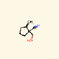 C=C1CCCC1(C#N)CO